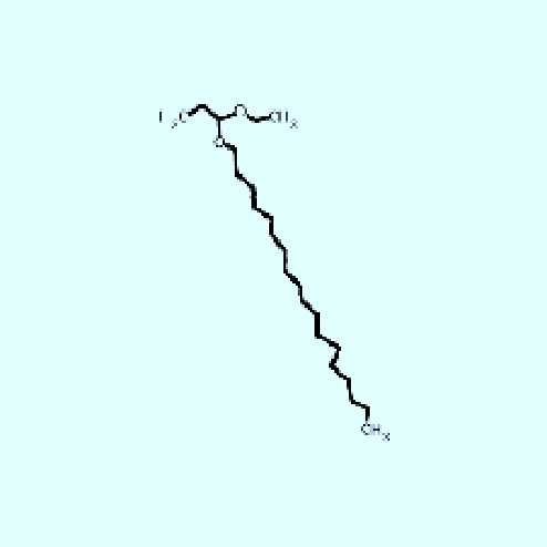 [CH2]CC(OCC)OCCCCCCCCCCCCCCCCCC